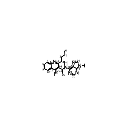 CCCCc1nc2ccccc2c(F)c1C(C)Nc1ncnc2[nH]cnc12